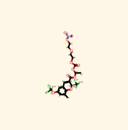 Cc1cc(OC(F)(F)F)cc2c1O[C@H](C(F)(F)F)C(C(=O)OC(C)OC(=O)OCCOCCO[N+](=O)[O-])=C2